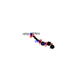 CCCCCCN(CCCCCC)C(=O)OCCCCCCNC(=O)OC1CCN(C(=O)Oc2ccc(Oc3ccccc3)cc2)CC1